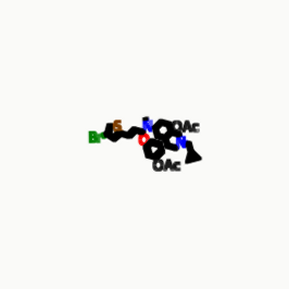 CC(=O)Oc1cccc([C@@]23CCN(CC4CC4)C[C@@]2(OC(C)=O)CC[C@@H](N(C)C(=O)/C=C/c2cc(Br)cs2)C3)c1